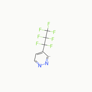 FC(F)(F)C(F)(F)C(F)(F)c1[c]nncc1